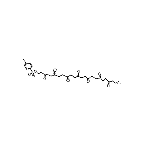 CC(=O)CCC(=O)CCC(=O)CCC(=O)CCC(=O)CCC(=O)CCC(=O)CCC(=O)CCOS(=O)(=O)c1ccc(C)cc1